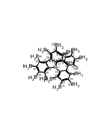 Bc1c(B)c(B)c(-c2c(B)c(B)c(B)c(B)c2-n2c3c(B)c(B)c(B)c(B)c3c3c(B)c(B)c(B)c(B)c32)c(F)c1B